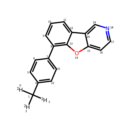 [2H]C([2H])([2H])c1ccc(-c2cccc3c2oc2ccncc23)cc1